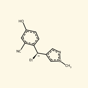 CC[C@H](c1cnn(C)c1)c1ccc(O)cc1C#N